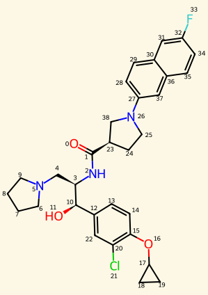 O=C(N[C@H](CN1CCCC1)[C@H](O)c1ccc(OC2CC2)c(Cl)c1)[C@@H]1CCN(c2ccc3cc(F)ccc3c2)C1